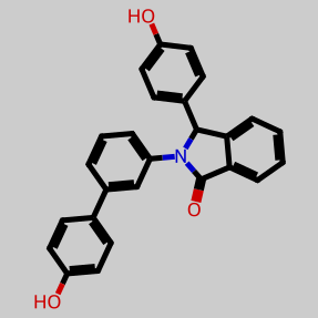 O=C1c2ccccc2C(c2ccc(O)cc2)N1c1cccc(-c2ccc(O)cc2)c1